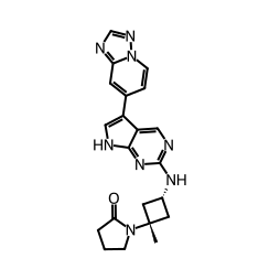 C[C@]1(N2CCCC2=O)C[C@@H](Nc2ncc3c(-c4ccn5ncnc5c4)c[nH]c3n2)C1